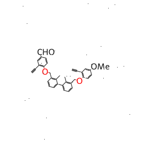 C#Cc1cc(C=O)ccc1OCc1cccc(-c2cccc(COc3ccc(OC)cc3C#C)c2C)c1C